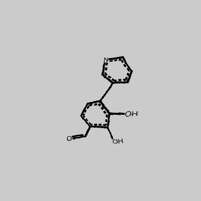 O=Cc1ccc(-c2cccnc2)c(O)c1O